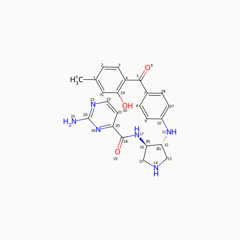 Cc1ccc(C(=O)c2ccc(N[C@@H]3CNC[C@H]3NC(=O)c3ccnc(N)n3)cc2)c(O)c1